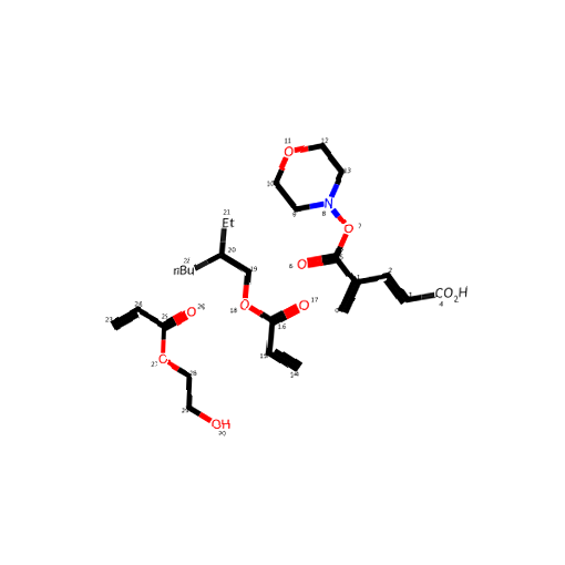 C=C(C=CC(=O)O)C(=O)ON1CCOCC1.C=CC(=O)OCC(CC)CCCC.C=CC(=O)OCCO